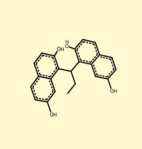 CCC(c1c(O)ccc2ccc(O)cc12)c1c(O)ccc2ccc(O)cc12